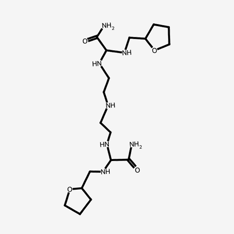 NC(=O)C(NCCNCCNC(NCC1CCCO1)C(N)=O)NCC1CCCO1